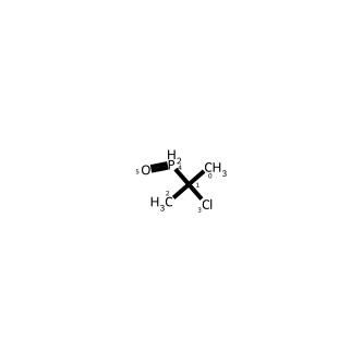 CC(C)(Cl)[PH2]=O